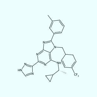 Cc1cccc(-c2nc3nc(-c4nc[nH]n4)nc(N[C@H](C)C4CC4)c3n2CC2C=CC(C(F)(F)F)=CC2)c1